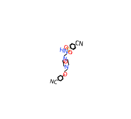 N#Cc1ccc(OCCN2CC3CN(CCNS(=O)(=O)c4ccc(C#N)cc4)CC(C2)O3)cc1